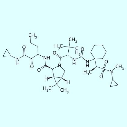 CCC[C@H](NC(=O)[C@@H]1[C@@H]2[C@H](CN1C(=O)[C@@H](NC(=O)NC1([C@H](C)S(=O)(=O)N(C)C3CC3)CCCCC1)C(C)(C)C)C2(C)C)C(=O)C(=O)NC1CC1